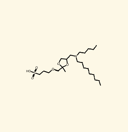 CCCCCCCCCN(CCCCC)CC1COC(C)(COCCCS(=O)(=O)O)O1